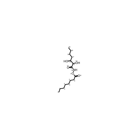 CCCCCCCC(=O)ONC(=O)C(O)C(O)CCCC